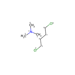 CN(C)C.ClCCCCCl